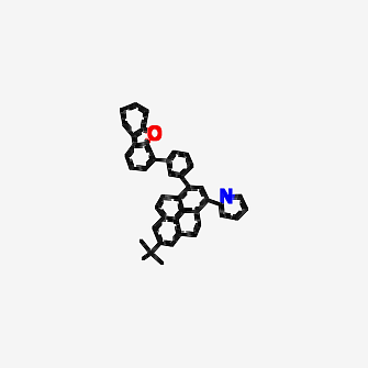 CC(C)(C)c1cc2ccc3c(-c4cccc(-c5cccc6c5oc5ccccc56)c4)cc(-c4ccccn4)c4ccc(c1)c2c34